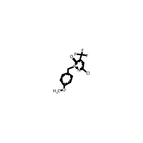 COc1ccc(Cn2nc(Cl)cc(C(F)(F)F)c2=O)cc1